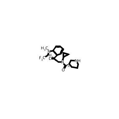 C=C(CN(C(=O)[C@@H]1CCCNC1)C1CC1)C1C=CC=CC1N(C)CC(F)(F)F